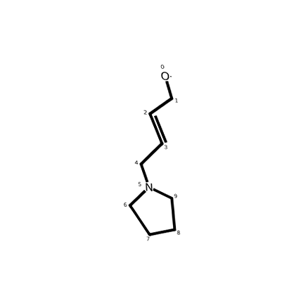 [O]C/C=C/CN1CCCC1